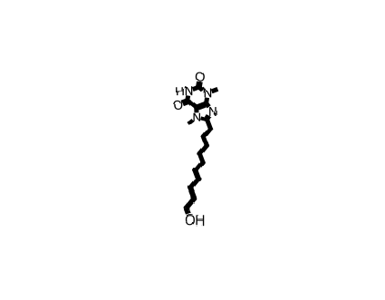 Cn1c(CCCCCCCCCCO)nc2c1c(=O)[nH]c(=O)n2C